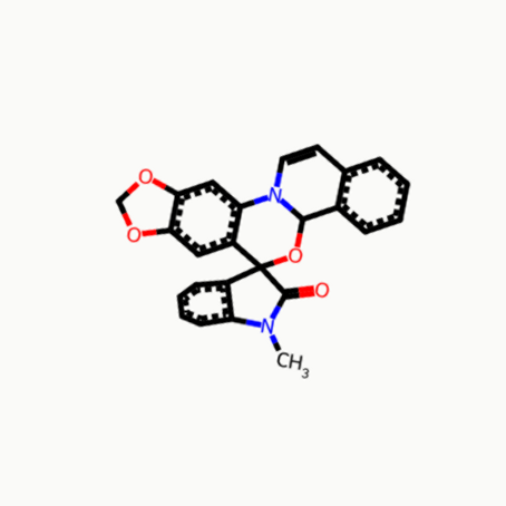 CN1C(=O)C2(OC3c4ccccc4C=CN3c3cc4c(cc32)OCO4)c2ccccc21